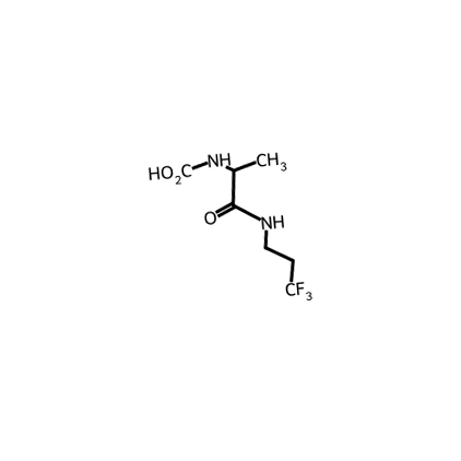 CC(NC(=O)O)C(=O)NCCC(F)(F)F